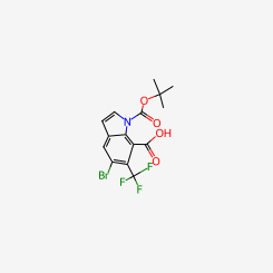 CC(C)(C)OC(=O)n1ccc2cc(Br)c(C(F)(F)F)c(C(=O)O)c21